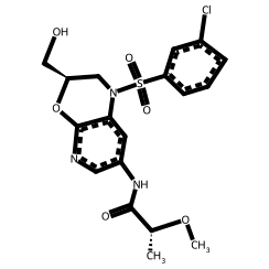 CO[C@H](C)C(=O)Nc1cnc2c(c1)N(S(=O)(=O)c1cccc(Cl)c1)C[C@H](CO)O2